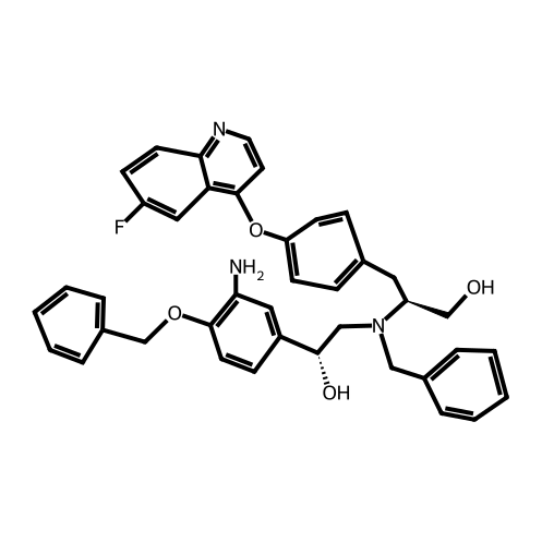 Nc1cc([C@@H](O)CN(Cc2ccccc2)[C@H](CO)Cc2ccc(Oc3ccnc4ccc(F)cc34)cc2)ccc1OCc1ccccc1